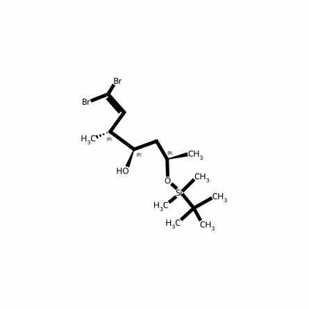 C[C@H](C[C@@H](O)[C@H](C)C=C(Br)Br)O[Si](C)(C)C(C)(C)C